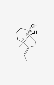 CC=C1CC[C@H]2[C@@H](O)CCC[C@]12C